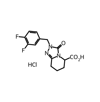 Cl.O=C(O)C1CCCc2nn(Cc3ccc(F)c(F)c3)c(=O)n21